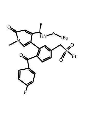 CCS(=O)(=O)Cc1ccc(C(=O)c2ccc(F)cc2)c(-c2cn(C)c(=O)cc2[C@@H](C)NSC(C)(C)C)c1